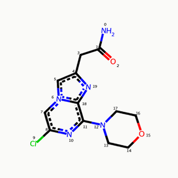 NC(=O)Cc1cn2cc(Cl)nc(N3CCOCC3)c2n1